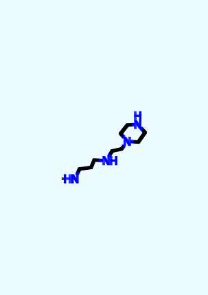 [NH]CCCNCCN1CCNCC1